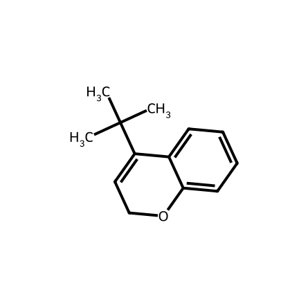 CC(C)(C)C1=CCOc2ccccc21